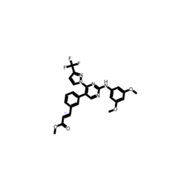 COC(=O)/C=C/c1cccc(-c2cnc(Nc3cc(OC)cc(OC)c3)nc2-n2ccc(C(F)(F)F)n2)c1